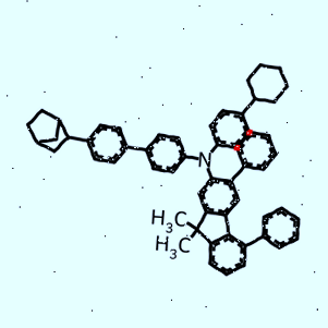 CC1(C)c2cc(N(c3ccc(-c4ccc(C5CC6CCC5C6)cc4)cc3)c3ccc(C4CCCCC4)cc3)c(-c3ccccc3)cc2-c2c(-c3ccccc3)cccc21